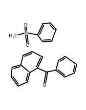 CS(=O)(=O)c1ccccc1.O=C(c1ccccc1)c1cccc2ccccc12